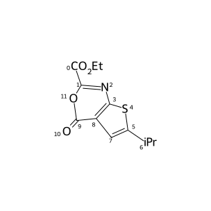 CCOC(=O)c1nc2sc(C(C)C)cc2c(=O)o1